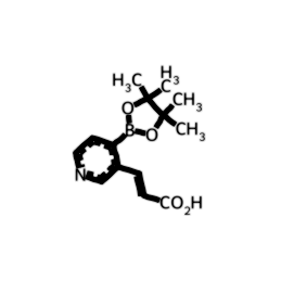 CC1(C)OB(c2ccncc2C=CC(=O)O)OC1(C)C